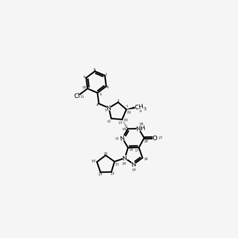 C[C@@H]1CN(Cc2ccccc2Cl)C[C@H]1c1nc2c(cnn2C2CCCC2)c(=O)[nH]1